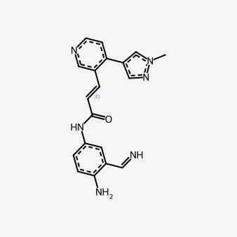 Cn1cc(-c2ccncc2/C=C/C(=O)Nc2ccc(N)c(C=N)c2)cn1